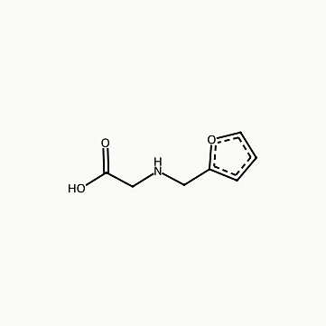 O=C(O)CNCc1ccco1